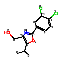 CC(C)c1oc(C2=CC=C(Cl)C(Cl)C2)nc1CO